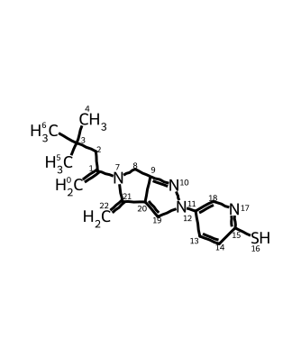 C=C(CC(C)(C)C)N1Cc2nn(-c3ccc(S)nc3)cc2C1=C